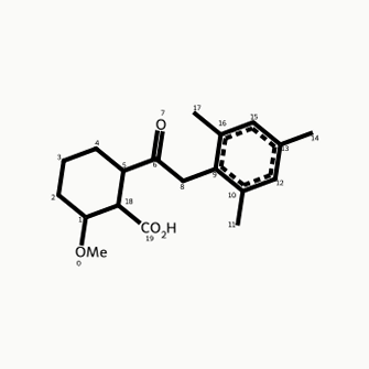 COC1CCCC(C(=O)Cc2c(C)cc(C)cc2C)C1C(=O)O